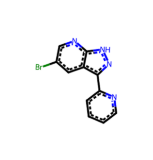 Brc1cnc2[nH]nc(-c3ccccn3)c2c1